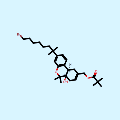 CC(C)(C)C(=O)OCC1=CC[C@@]2(O)[C@H](C1)c1ccc(C(C)(C)CCCCCCBr)cc1OC2(C)C